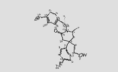 CC1CC(CCO)(c2ccc(F)cc2)CC(=O)N1[C@@H](C)c1ccc(Br)cc1